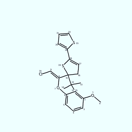 COc1cccc(O/C(=C\Cl)C2(C(C)(C)C)CC=C(c3cccs3)S2)c1